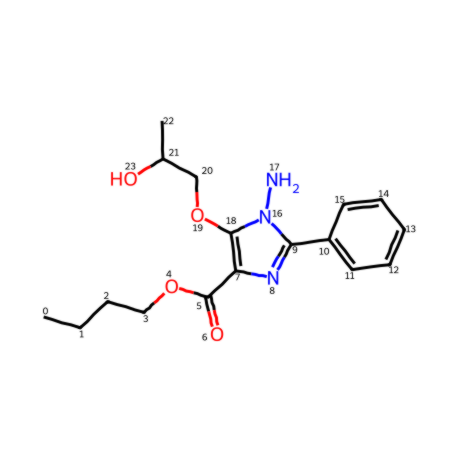 CCCCOC(=O)c1nc(-c2ccccc2)n(N)c1OCC(C)O